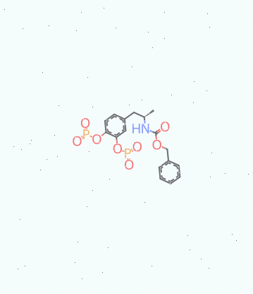 C[C@H](Cc1ccc(OP(=O)=O)c(OP(=O)=O)c1)NC(=O)OCc1ccccc1